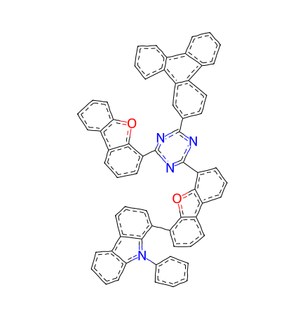 c1ccc(-n2c3ccccc3c3cccc(-c4cccc5c4oc4c(-c6nc(-c7ccc8c9ccccc9c9ccccc9c8c7)nc(-c7cccc8c7oc7ccccc78)n6)cccc45)c32)cc1